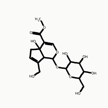 COC(=O)C1=COC(OC2OC(CO)C(O)C(O)C2O)C2C(CO)=CCC12O